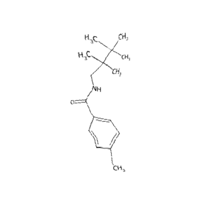 Cc1ccc(C(=O)NCC(C)(C)C(C)(C)C)cc1